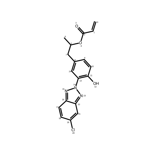 C=CC(=O)OC(C)Cc1ccc(O)c(-n2nc3ccc(Cl)cc3n2)c1